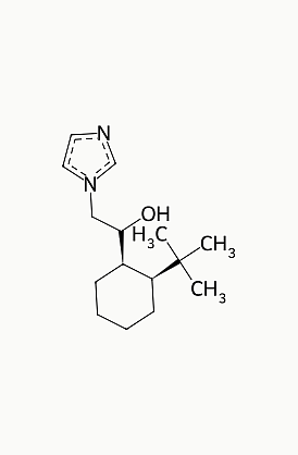 CC(C)(C)[C@H]1CCCC[C@H]1C(O)Cn1ccnc1